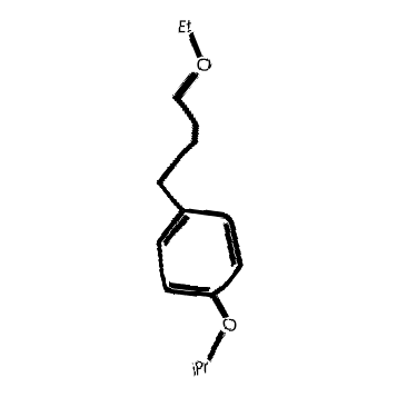 CCOCCCc1ccc(OC(C)C)cc1